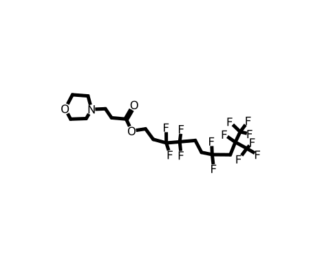 O=C(CCN1CCOCC1)OCCC(F)(F)C(F)(F)CCC(F)(F)CC(F)(C(F)(F)F)C(F)(F)F